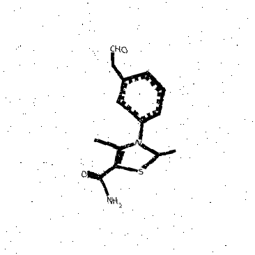 CC1=C(C(N)=O)SC(C)N1c1cccc(CC=O)c1